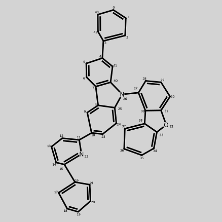 c1ccc(-c2ccc3c4cc(-c5cccc(-c6ccccc6)n5)ccc4n(-c4cccc5oc6ccccc6c45)c3c2)cc1